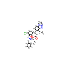 Cc1c(C(CC(=O)O)c2ccc(Cl)c(CN3CCCCc4ccccc4C3)c2)ccc2c1nnn2C